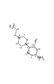 Nc1cnc(N2CCN(CCC(F)(F)F)CC2)c(F)c1